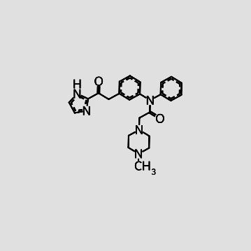 CN1CCN(CC(=O)N(c2ccccc2)c2cccc(CC(=O)c3ncc[nH]3)c2)CC1